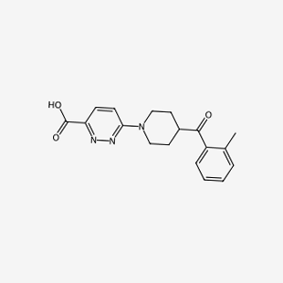 Cc1ccccc1C(=O)C1CCN(c2ccc(C(=O)O)nn2)CC1